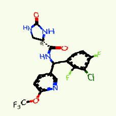 O=C1NC[C@@H](C(=O)NC(c2ccc(OC(F)(F)F)nc2)c2ccc(F)c(Cl)c2F)N1